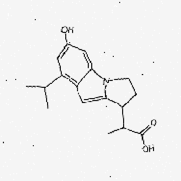 CC(C)c1cc(O)cc2c1cc1n2CCC1C(C)C(=O)O